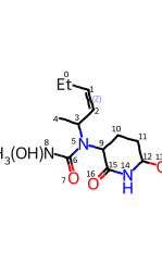 CC/C=C\C(C)N(C(=O)N(C)O)C1CCC(O)NC1=O